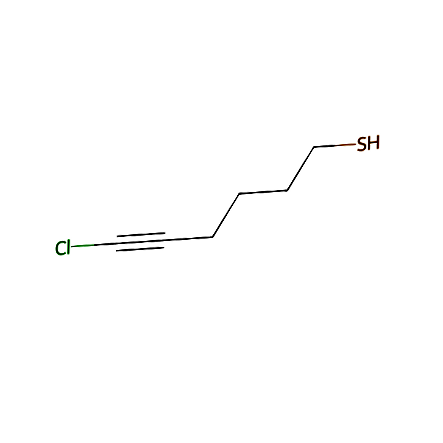 SCCCCC#CCl